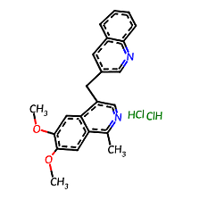 COc1cc2c(Cc3cnc4ccccc4c3)cnc(C)c2cc1OC.Cl.Cl